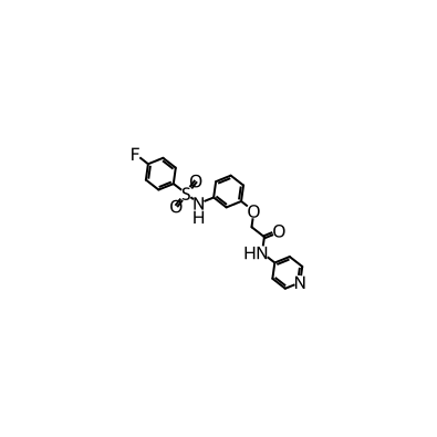 O=C(COc1cccc(NS(=O)(=O)c2ccc(F)cc2)c1)Nc1ccncc1